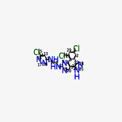 Clc1ccc(-c2nc(NCCNc3cc(Cl)ncn3)ncc2-c2cnc[nH]2)c(Cl)c1